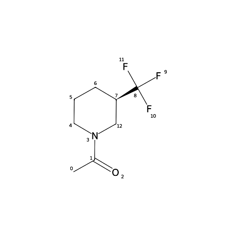 CC(=O)N1CCC[C@@H](C(F)(F)F)C1